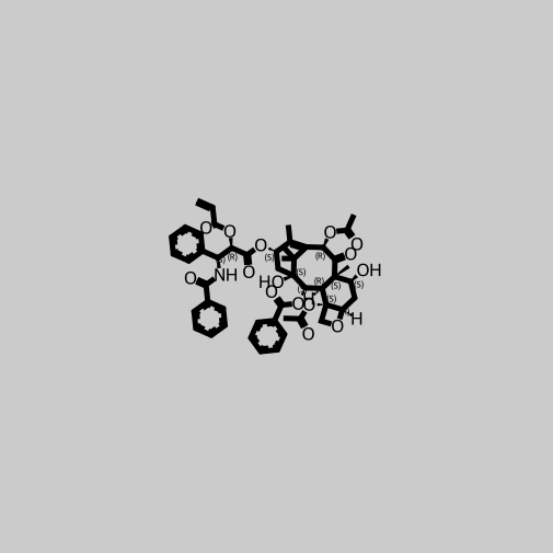 C=CC(=O)O[C@@H](C(=O)O[C@H]1C[C@@]2(O)[C@@H](OC(=O)c3ccccc3)[C@@H]3[C@]4(OC(C)=O)CO[C@@H]4C[C@H](O)[C@@]3(C)C(=O)[C@H](OC(C)=O)C(=C1C)C2(C)C)[C@@H](NC(=O)c1ccccc1)c1ccccc1